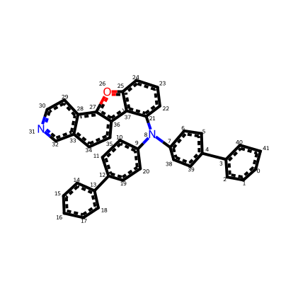 c1ccc(-c2ccc(N(c3ccc(-c4ccccc4)cc3)c3cccc4oc5c6ccncc6ccc5c34)cc2)cc1